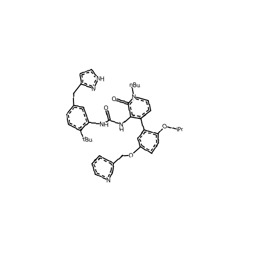 CCCCn1ccc(-c2cc(OCc3cccnc3)ccc2OC(C)C)c(NC(=O)Nc2cc(Cc3cc[nH]n3)ccc2C(C)(C)C)c1=O